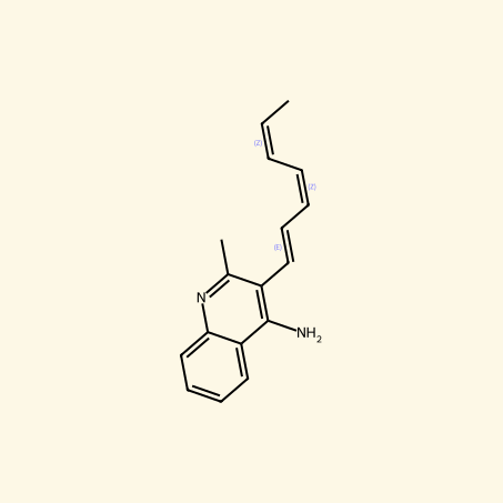 C\C=C/C=C\C=C\c1c(C)nc2ccccc2c1N